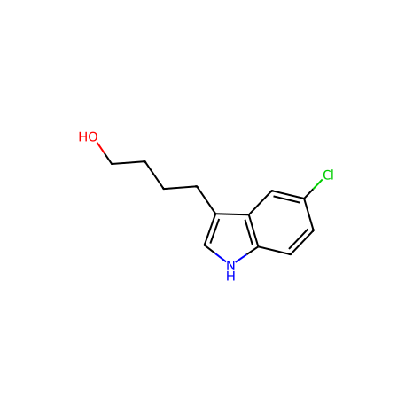 OCCCCc1c[nH]c2ccc(Cl)cc12